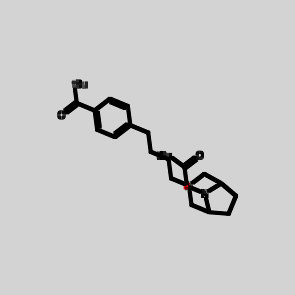 CC(C)(C)C(=O)CN1C2CCC1CN(CCCCc1ccc(C(=O)C(C)(C)C)cc1)C2